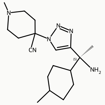 CC1CCC([C@](C)(N)c2cn(C3(C#N)CCN(C)CC3)nn2)CC1